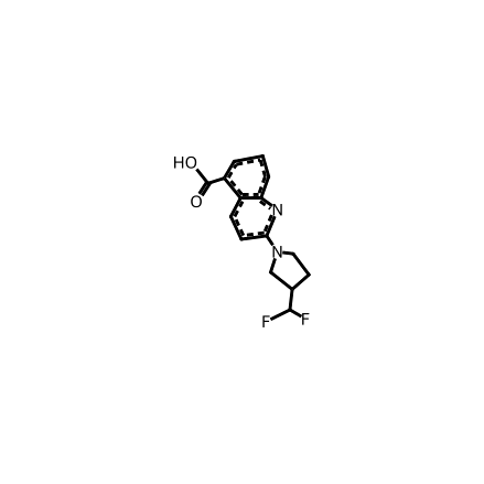 O=C(O)c1cccc2nc(N3CCC(C(F)F)C3)ccc12